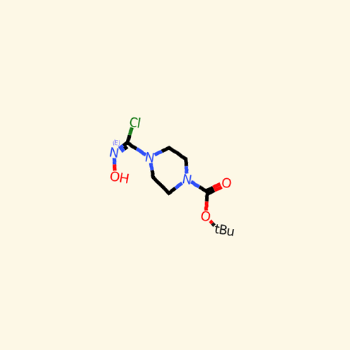 CC(C)(C)OC(=O)N1CCN(/C(Cl)=N\O)CC1